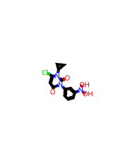 O=c1cc(Cl)n(C2CC2)c(=O)n1-c1cccc(N(O)O)c1